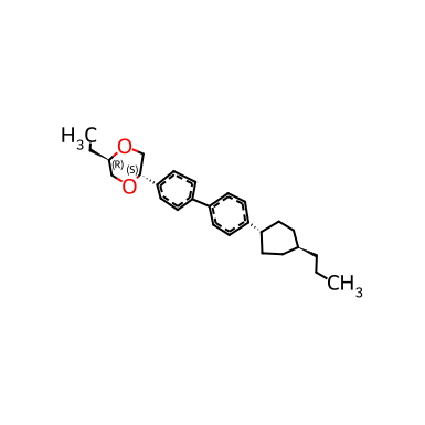 CCC[C@H]1CC[C@H](c2ccc(-c3ccc([C@H]4CO[C@H](CC)CO4)cc3)cc2)CC1